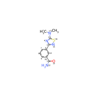 CN(C)c1nc(-c2cccc(C(N)=O)c2)ns1